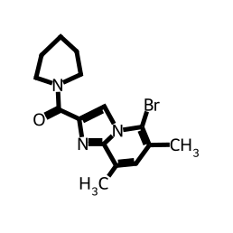 Cc1cc(C)c2nc(C(=O)N3CCCCC3)cn2c1Br